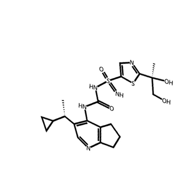 C[C@H](c1cnc2c(c1NC(=O)NS(=N)(=O)c1cnc([C@@](C)(O)CO)s1)CCC2)C1CC1